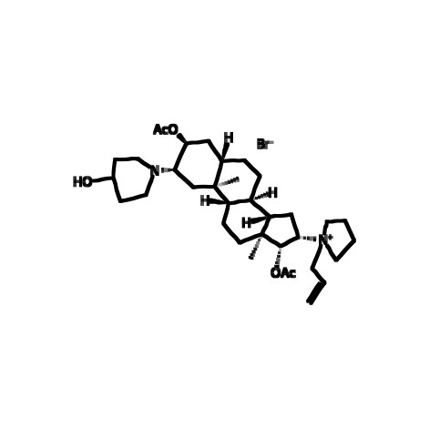 C=CC[N+]1([C@H]2C[C@H]3[C@@H]4CC[C@H]5C[C@H](OC(C)=O)[C@@H](N6CCC(O)CC6)C[C@]5(C)[C@H]4CC[C@]3(C)[C@H]2OC(C)=O)CCCC1.[Br-]